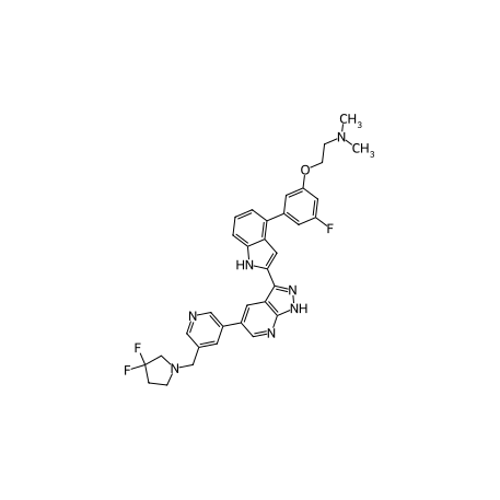 CN(C)CCOc1cc(F)cc(-c2cccc3[nH]c(-c4n[nH]c5ncc(-c6cncc(CN7CCC(F)(F)C7)c6)cc45)cc23)c1